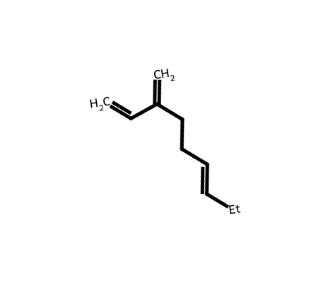 C=CC(=C)CCC=CCC